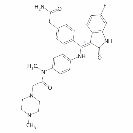 CN1CCN(CC(=O)N(C)c2ccc(N/C(=C3\C(=O)Nc4cc(F)ccc43)c3ccc(CC(N)=O)cc3)cc2)CC1